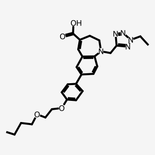 CCCCOCCOc1ccc(-c2ccc3c(c2)C=C(C(=O)O)CCN3Cc2nnn(CC)n2)cc1